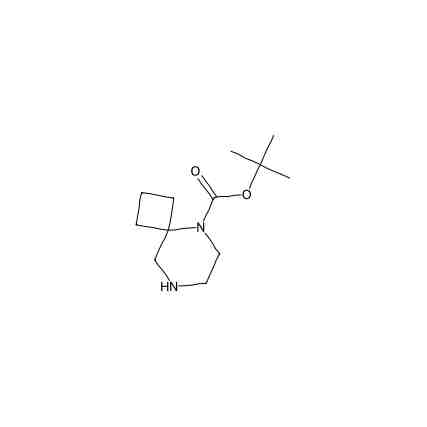 CC(C)(C)OC(=O)N1CCNCC12CCC2